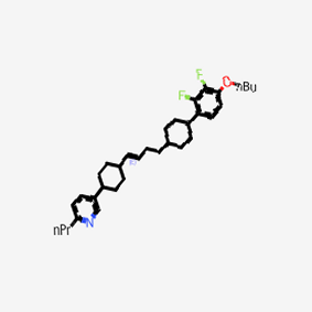 CCCCOc1ccc(C2CCC(CC/C=C/C3CCC(c4ccc(CCC)nc4)CC3)CC2)c(F)c1F